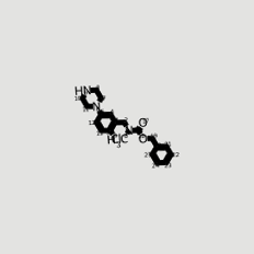 CN(Cc1cc(N2CCNCC2)ccc1Cl)C(=O)OCc1ccccc1